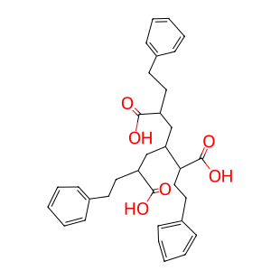 O=C(O)C(CCc1ccccc1)CC(CC(CCc1ccccc1)C(=O)O)C(CCc1ccccc1)C(=O)O